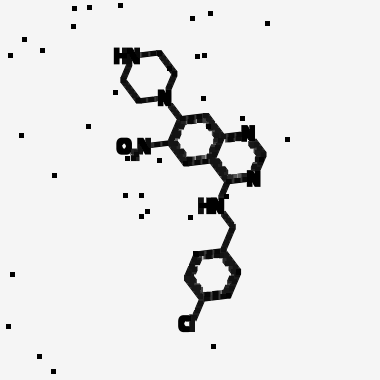 O=[N+]([O-])c1cc2c(NCc3ccc(Cl)cc3)ncnc2cc1N1CCNCC1